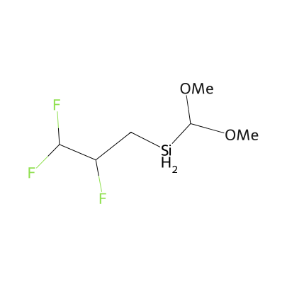 COC(OC)[SiH2]CC(F)C(F)F